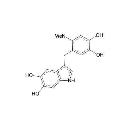 CNc1cc(O)c(O)cc1Cc1c[nH]c2cc(O)c(O)cc12